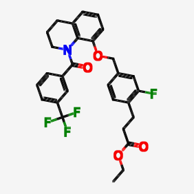 CCOC(=O)CCc1ccc(COc2cccc3c2N(C(=O)c2cccc(C(F)(F)F)c2)CCC3)cc1F